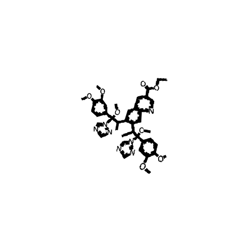 CCOC(=O)c1cnc2cc(C(C)C(OC)(c3ccc(OC)c(OC)c3)n3cncn3)c(C(C)C(OC)(c3ccc(OC)c(OC)c3)n3cncn3)cc2c1